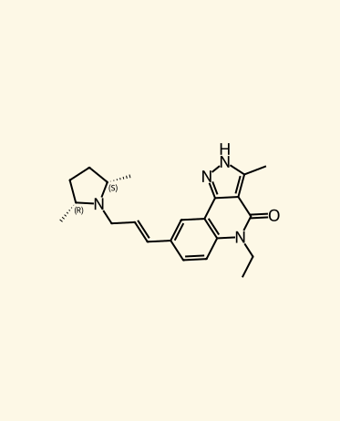 CCn1c(=O)c2c(C)[nH]nc2c2cc(C=CCN3[C@H](C)CC[C@@H]3C)ccc21